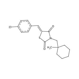 CC1(CN2C(=O)SC(=Cc3ccc(Cl)cc3)C2=O)CCCCC1